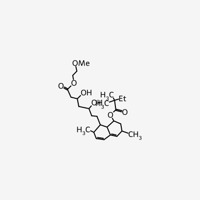 CCC(C)(C)C(=O)OC1CC(C)C=C2C=CC(C)C(CCC(O)CC(O)CC(=O)OCCOC)C21